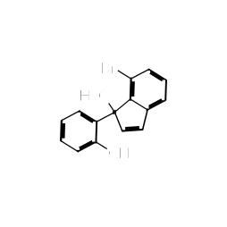 Cc1ccccc1C1(C)C=Cc2cccc(Br)c21